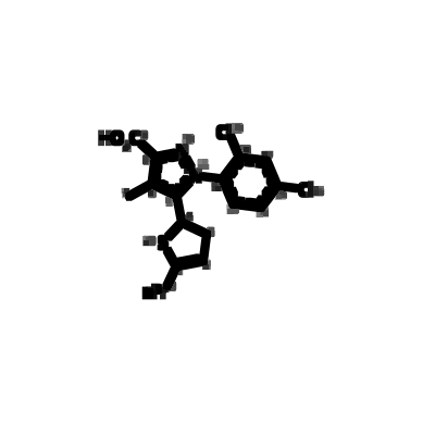 CCCC1=CCC(c2c(C)c(C(=O)O)nn2-c2ccc(Cl)cc2Cl)S1